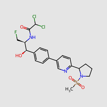 CS(=O)(=O)N1CCCC1c1ccc(-c2ccc([C@@H](O)[C@@H](CF)NC(=O)C(Cl)Cl)cc2)cn1